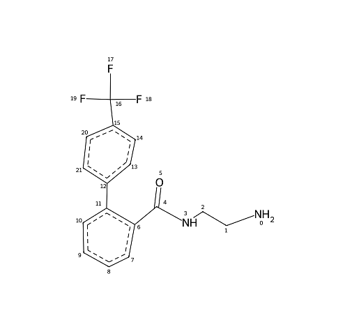 NCCNC(=O)c1ccccc1-c1ccc(C(F)(F)F)cc1